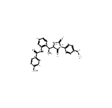 COc1ccc(C(=O)Nc2cnccc2C(C)C2NC(=O)N(c3ccc(OC(F)(F)F)cc3)C2=O)cc1